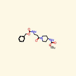 CC(C)(C)OC(=O)NC1CCN(C(=O)CCNC(=O)OCc2ccccc2)CC1